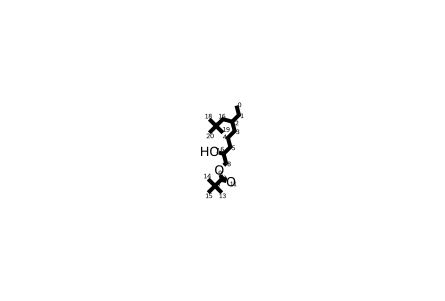 CCC(CCCC(O)COC(=O)C(C)(C)C)CC(C)(C)C